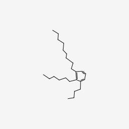 CCCCCCCCCc1[c]ccc(CCCC)c1CCCCCC